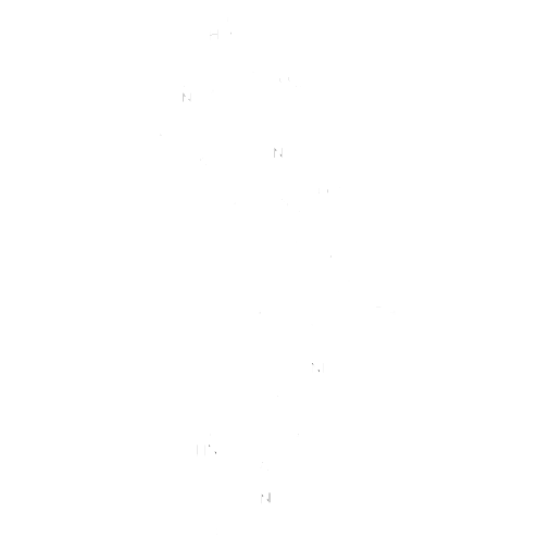 CNC(=N)CC(=O)Nc1ccc(S(=O)(=O)Nc2scnc2C(=O)O)cc1F